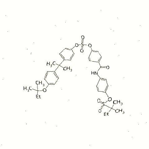 CCC(C)(C)Oc1ccc(C(C)(C)c2ccc(OS(=O)(=O)Oc3ccc(C(=O)Nc4ccc(OS(=O)(=O)C(C)(C)CC)cc4)cc3)cc2)cc1